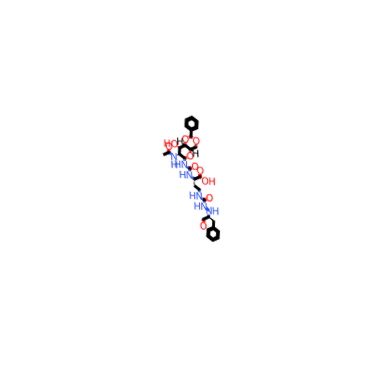 CC(=O)N[C@H]1C(NC(=O)N[C@@H](CCNC(=O)NN[C@H](C=O)Cc2ccccc2)C(=O)O)O[C@@H]2COC(c3ccccc3)O[C@H]2[C@@H]1O